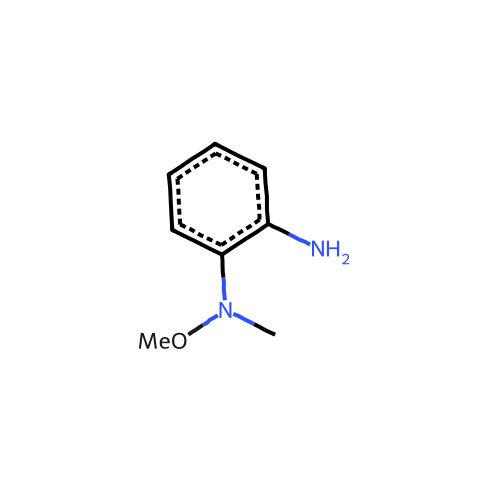 CON(C)c1ccccc1N